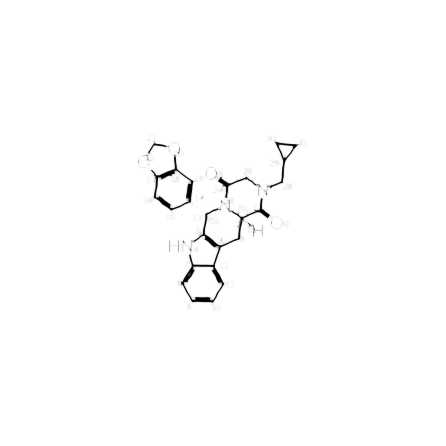 O=C1[C@@H]2Cc3c([nH]c4ccccc34)[C@H](c3ccc4c(c3)OCO4)N2C(=O)CN1CC1CC1